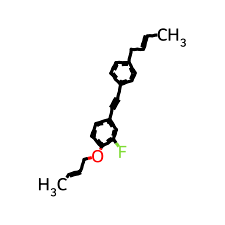 CC=CCOc1ccc(C#Cc2ccc(CC=CC)cc2)cc1F